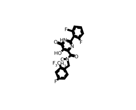 CN(Cc1ccc(F)cc1C(F)(F)F)C(=O)c1nc(-c2c(F)cccc2F)[nH]c(=O)c1O